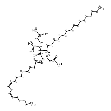 CCCCC/C=C\C/C=C\CCCCCCCC(=O)N[C@@H](CCC(=O)O)C(=O)N(C(=O)CCCCCCCCCCCCCCCCC)[C@@H](CCC(=O)O)C(=O)O